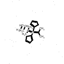 CO.CO.C[C](C)=[Ti]([C]1=CC=CC1)([C]1=CC=CC1)=[Si](C)C